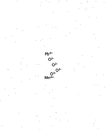 [Mn+4].[O-2].[O-2].[O-2].[O-2].[Pb+4]